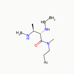 BBN[C@H](C(=O)N(C)CCC(C)=O)[C@H](C)NB